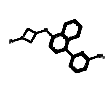 CC(C)N1CC(Oc2ccc(-c3cccc(N)n3)c3ccccc23)C1